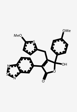 COc1ccc(C2(O)OC(=O)C(c3ccc4nsnc4c3)=C2Cc2ccc(OC)s2)cc1